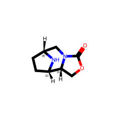 O=C1OC[C@@H]2[C@@H]3CC[C@H](CN12)N3